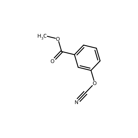 COC(=O)c1cccc(OC#N)c1